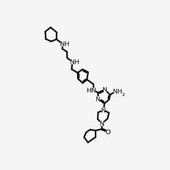 Nc1cc(N2CCN(C(=O)C3CCCCC3)CC2)nc(NCc2ccc(CNCCCNC3CCCCC3)cc2)n1